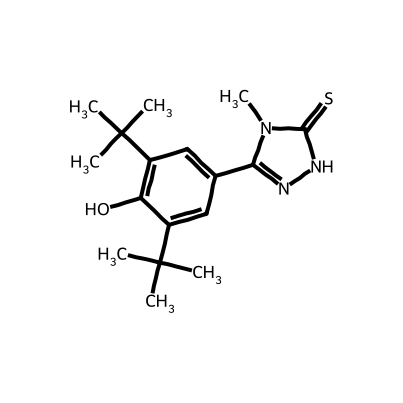 Cn1c(-c2cc(C(C)(C)C)c(O)c(C(C)(C)C)c2)n[nH]c1=S